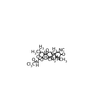 [C-]#[N+]C1=C[C@]2(C)C3=CC(=O)[C@@H]4[C@@H]5CC(C)(C)CC[C@]5(OC(=O)NC(=O)C(Cl)(Cl)Cl)CC[C@@]4(C)[C@]3(C)CC[C@H]2[C@H](C)C1=O